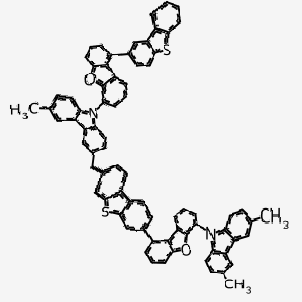 Cc1ccc2c(c1)c1cc(C)ccc1n2-c1cccc2c1oc1cccc(-c3ccc4c(c3)sc3cc(Cc5ccc6c(c5)c5cc(C)ccc5n6-c5cccc6c5oc5cccc(-c7ccc8sc9ccccc9c8c7)c56)ccc34)c12